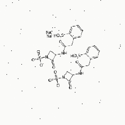 O=C(Cc1ccccc1S(=O)(=O)O)NC1CN(S(=O)(=O)[O-])C1=O.O=C(Cc1ccccc1S(=O)(=O)O)NC1CN(S(=O)(=O)[O-])C1=O.[Na+].[Na+]